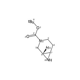 CC(C)(C)OC(=O)N1CCC2N[C@@H]2C1